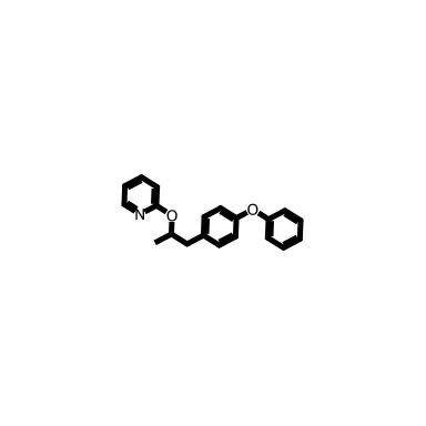 CC(Cc1ccc(Oc2ccccc2)cc1)Oc1ccccn1